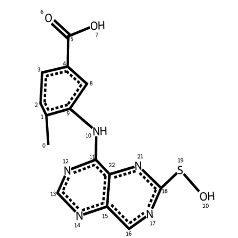 Cc1ccc(C(=O)O)cc1Nc1ncnc2cnc(SO)nc12